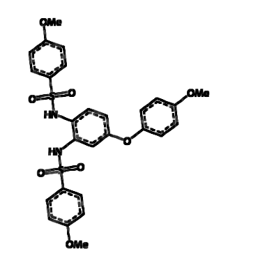 COc1ccc(Oc2ccc(NS(=O)(=O)c3ccc(OC)cc3)c(NS(=O)(=O)c3ccc(OC)cc3)c2)cc1